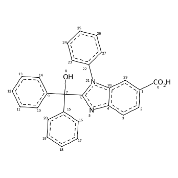 O=C(O)c1ccc2nc(C(O)(c3ccccc3)c3ccccc3)n(-c3ccccc3)c2c1